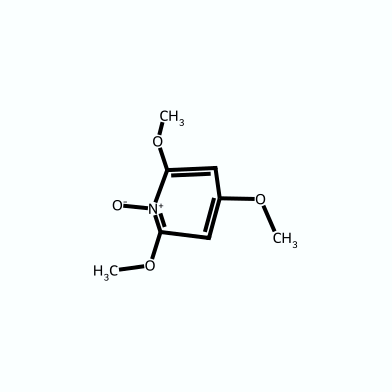 COc1cc(OC)[n+]([O-])c(OC)c1